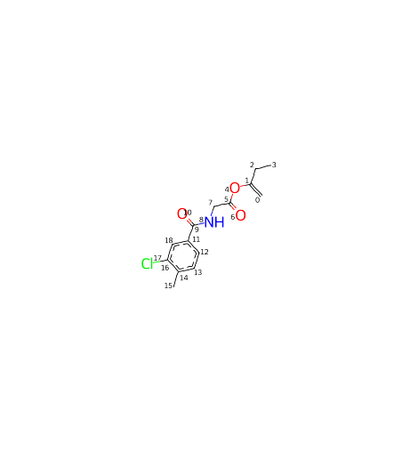 C=C(CC)OC(=O)CNC(=O)c1ccc(C)c(Cl)c1